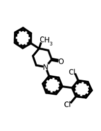 CC1(c2ccccc2)CCN(c2cccc(-c3c(Cl)cccc3Cl)c2)C(=O)C1